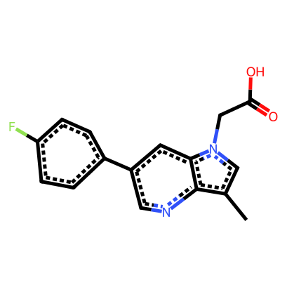 Cc1cn(CC(=O)O)c2cc(-c3ccc(F)cc3)cnc12